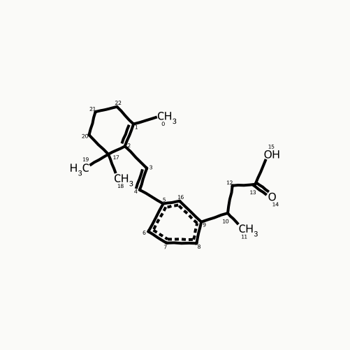 CC1=C(C=Cc2cccc(C(C)CC(=O)O)c2)C(C)(C)CCC1